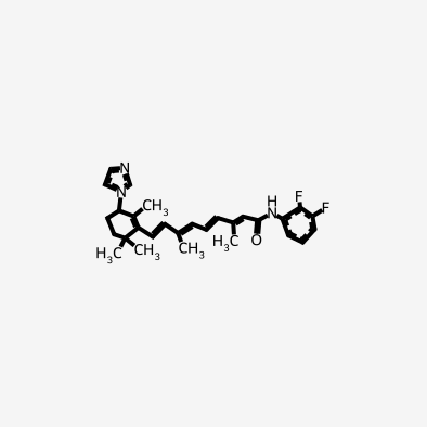 CC1=C(/C=C/C(C)=C/C=C/C(C)=C/C(=O)Nc2cccc(F)c2F)C(C)(C)CCC1n1ccnc1